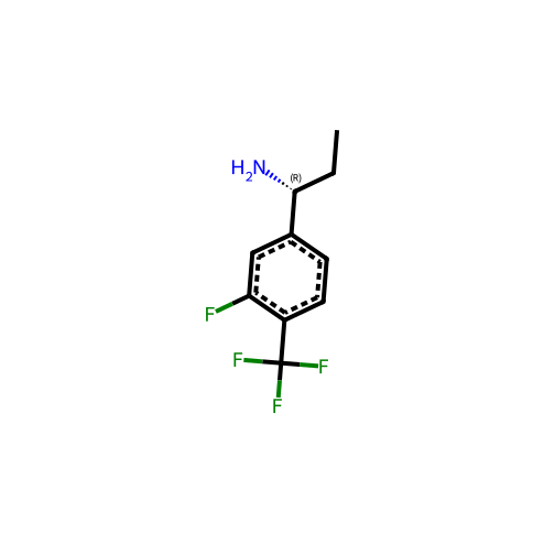 CC[C@@H](N)c1ccc(C(F)(F)F)c(F)c1